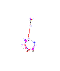 CC(C)C[C@@H]1NC(=O)[C@H](Cc2ccc(O)cc2)NC(=O)[C@H](Cc2ccccc2)NC(=O)[C@@H](N)Cc2cn(nn2)CCCC[C@@H](C(=O)NCCCOCCOCCOCCCNC(=O)CCCC[C@H]2SC[C@H]3NC(=O)N[C@H]32)NC(=O)[C@H](Cc2c[nH]cn2)NC(=O)[C@H](CCC(N)=O)NC1=O